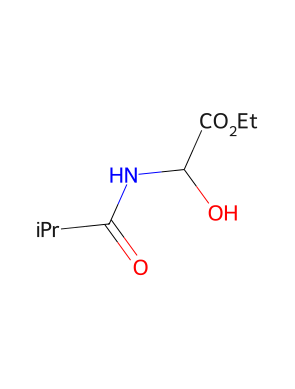 CCOC(=O)C(O)NC(=O)C(C)C